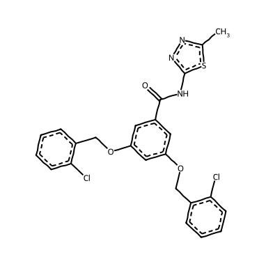 Cc1nnc(NC(=O)c2cc(OCc3ccccc3Cl)cc(OCc3ccccc3Cl)c2)s1